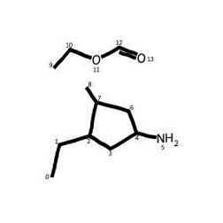 CCC1CC(N)CC1C.CCOC=O